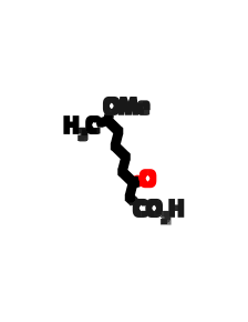 COC(C)CCCCC(=O)CC(=O)O